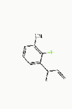 [CH2]C(C=C)c1cccc(C#N)c1F